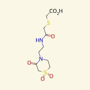 O=C(O)CSCC(=O)NCCN1CCS(=O)(=O)CC1=O